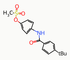 CC(C)(C)c1ccc(C(=O)Nc2ccc(OS(C)(=O)=O)cc2)cc1